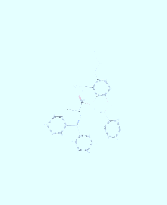 COc1c(CCBr)ccc(OCc2ccccc2)c1OC(=O)C(C)N=C(c1ccccc1)c1ccccc1